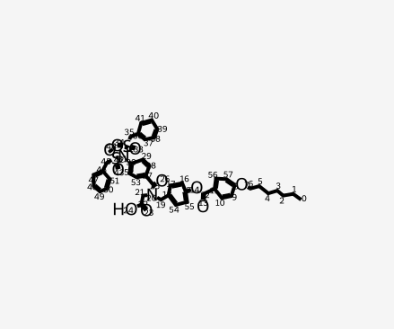 CCCCCCCOc1ccc(C(=O)Oc2ccc(CN(CC(=O)O)C(=O)c3ccc(N(S(=O)(=O)Cc4ccccc4)S(=O)(=O)Cc4ccccc4)cc3)cc2)cc1